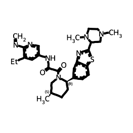 C=Nc1ncc(NC(=O)C(=O)N2C[C@@H](C)CC[C@@H]2c2ccc3sc(C4CN(C)CCN4C)nc3c2)cc1CC